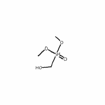 CO[SH](=O)(CO)OC